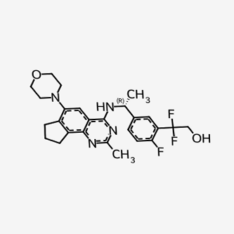 Cc1nc(N[C@H](C)c2ccc(F)c(C(F)(F)CO)c2)c2cc(N3CCOCC3)c3c(c2n1)CCC3